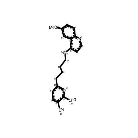 COc1ccc2nccc(NCCCCc3ccc(O)c(C=O)n3)c2c1